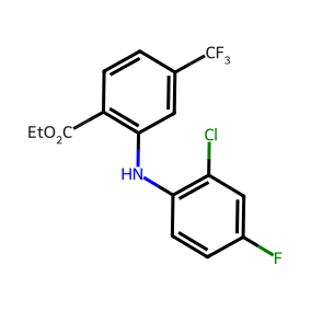 CCOC(=O)c1ccc(C(F)(F)F)cc1Nc1ccc(F)cc1Cl